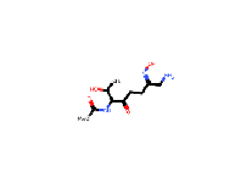 COC(=O)NC(C(=O)CCC(CN)=NO)C(C)O